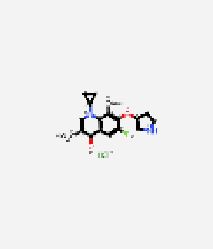 COc1c(OC2CCNC2)c(F)cc2c(=O)c(C(=O)O)cn(C3CC3)c12.Cl